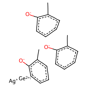 Cc1ccccc1[O-].Cc1ccccc1[O-].Cc1ccccc1[O-].[Ag+].[Ge+2]